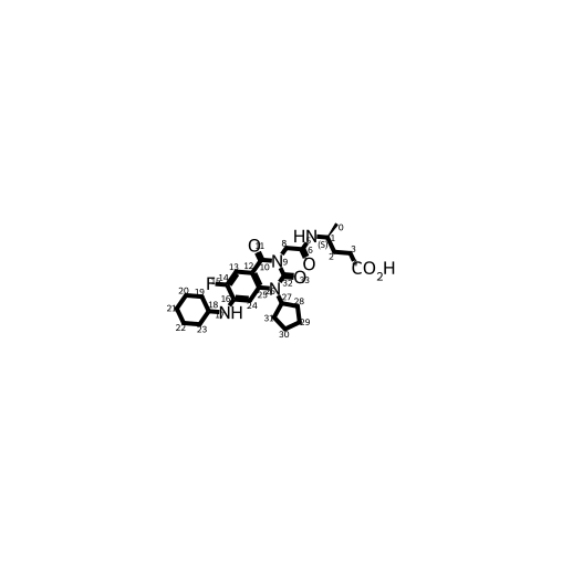 C[C@@H](CCC(=O)O)NC(=O)Cn1c(=O)c2cc(F)c(NC3CCCCC3)cc2n(C2CCCC2)c1=O